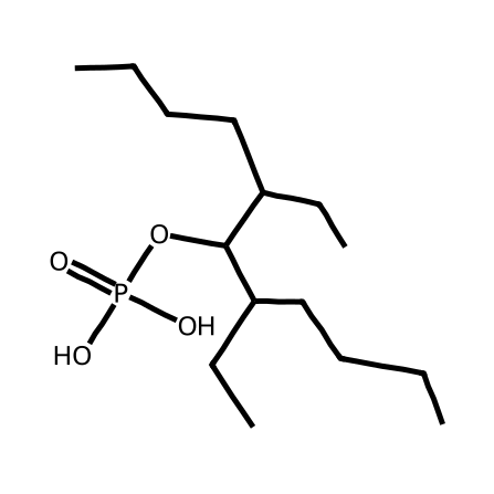 CCCCC(CC)C(OP(=O)(O)O)C(CC)CCCC